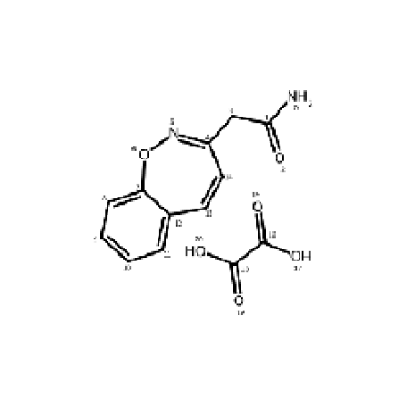 NC(=O)CC1=NOc2ccccc2C=C1.O=C(O)C(=O)O